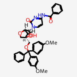 COc1ccc(C(OC[C@@]23CO[C@@H]([C@H](n4ccc(NC(=O)c5ccccc5)nc4=O)O2)[C@@H]3O)(c2ccccc2)c2ccc(OC)cc2)cc1